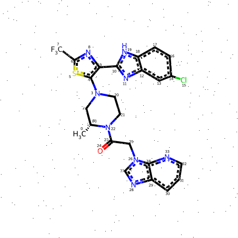 C[C@@H]1CN(c2sc(C(F)(F)F)nc2-c2nc3cc(Cl)ccc3[nH]2)CCN1C(=O)Cn1cnc2cccnc21